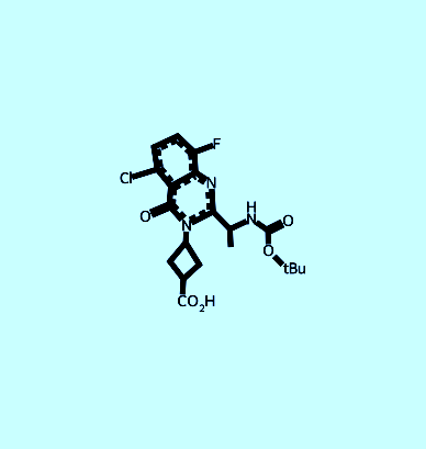 CC(NC(=O)OC(C)(C)C)c1nc2c(F)ccc(Cl)c2c(=O)n1C1CC(C(=O)O)C1